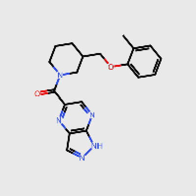 Cc1ccccc1OCC1CCCN(C(=O)c2cnc3[nH]ncc3n2)C1